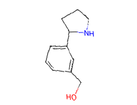 OCc1cccc(C2CCCN2)c1